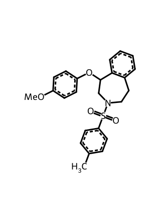 COc1ccc(OC2CN(S(=O)(=O)c3ccc(C)cc3)CCc3ccccc32)cc1